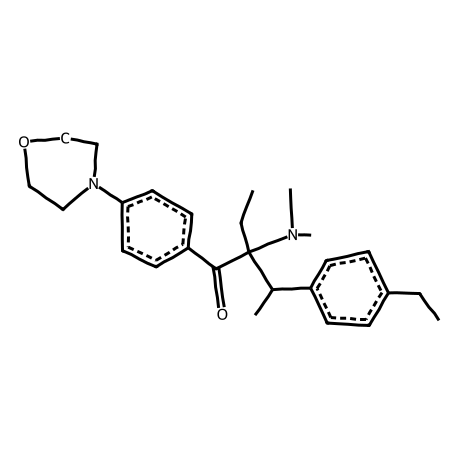 CCc1ccc(C(C)C(CC)(C(=O)c2ccc(N3CCOCC3)cc2)N(C)C)cc1